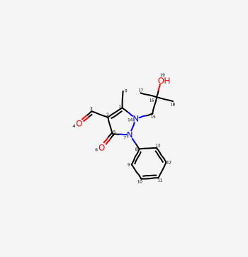 Cc1c(C=O)c(=O)n(-c2ccccc2)n1CC(C)(C)O